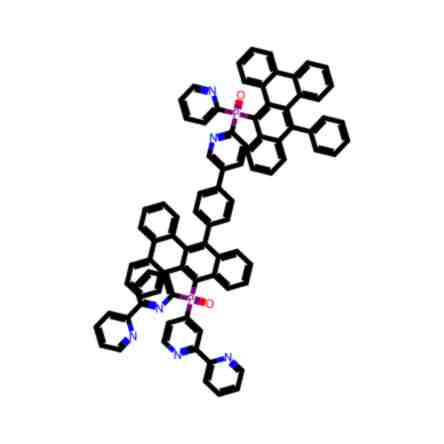 O=P(c1ccnc(-c2ccccn2)c1)(c1cccc(-c2ccccn2)n1)c1c2ccccc2c(-c2ccc(-c3ccc(P(=O)(c4ccccn4)c4c5ccccc5c(-c5ccccc5)c5c6ccccc6c6ccccc6c45)nc3)cc2)c2c3ccccc3c3ccccc3c12